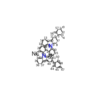 Cc1cc(C)c(-c2ccc3c(c2)c2ccccc2n3-c2ccc3c(c2-c2cccc(C#N)c2-n2c4ccccc4c4cc(-c5c(C)cc(C)cc5C)ccc42)C3)c(C)c1